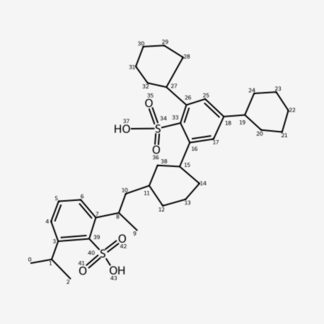 CC(C)c1cccc(C(C)CC2CCCC(c3cc(C4CCCCC4)cc(C4CCCCC4)c3S(=O)(=O)O)C2)c1S(=O)(=O)O